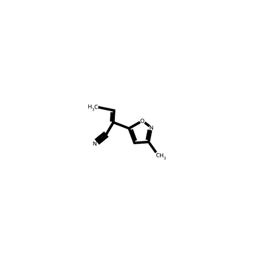 C/C=C(\C#N)c1cc(C)no1